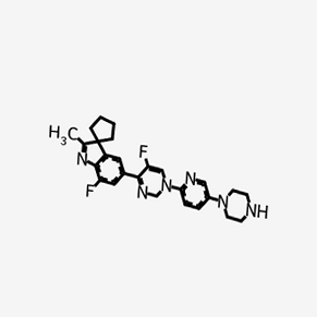 CC1=Nc2c(F)cc(C3=NCN(c4ccc(N5CCNCC5)cn4)C=C3F)cc2C12CCCC2